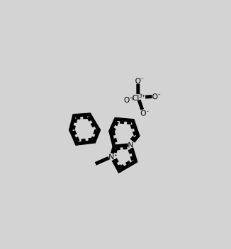 C[n+]1ccn2ccccc21.[O-][Cl+3]([O-])([O-])[O-].c1ccccc1